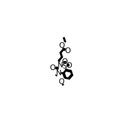 CCOC(=O)CCCN1C(=O)N(C)c2c(OC)cccc2S1(=O)=O